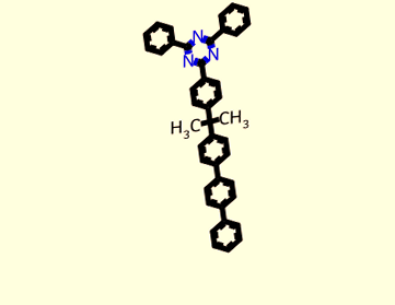 CC(C)(c1ccc(-c2ccc(-c3ccccc3)cc2)cc1)c1ccc(-c2nc(-c3ccccc3)nc(-c3ccccc3)n2)cc1